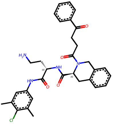 Cc1cc(NC(=O)[C@H](CCN)NC(=O)[C@@H]2Cc3ccccc3CN2C(=O)CCC(=O)c2ccccc2)cc(C)c1Cl